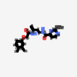 C=C(CCNC(=O)c1ccnc(SC)n1)NC(=O)COc1ccc(C)c(C)c1